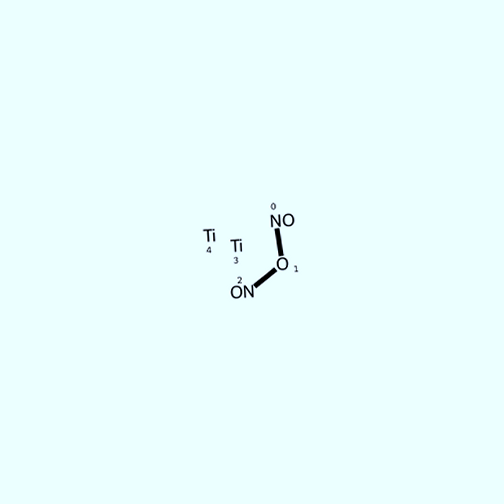 O=NON=O.[Ti].[Ti]